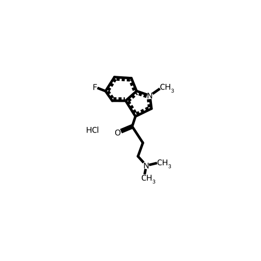 CN(C)CCC(=O)c1cn(C)c2ccc(F)cc12.Cl